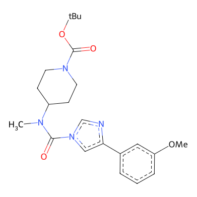 COc1cccc(-c2cn(C(=O)N(C)C3CCN(C(=O)OC(C)(C)C)CC3)cn2)c1